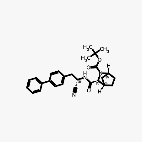 CC(C)(C)OC(=O)N1[C@@H]2CC[C@@H](C2)[C@H]1C(=O)N[C@H](C#N)Cc1ccc(-c2ccccc2)cc1